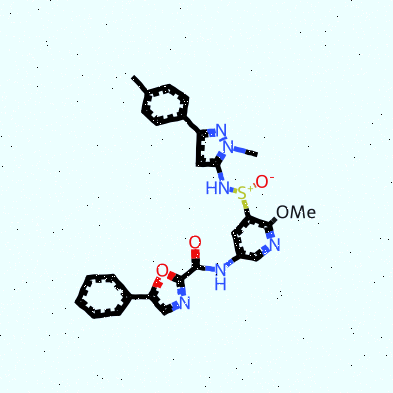 COc1ncc(NC(=O)c2ncc(-c3ccccc3)o2)cc1[S+]([O-])Nc1cc(-c2ccc(C)cc2)nn1C